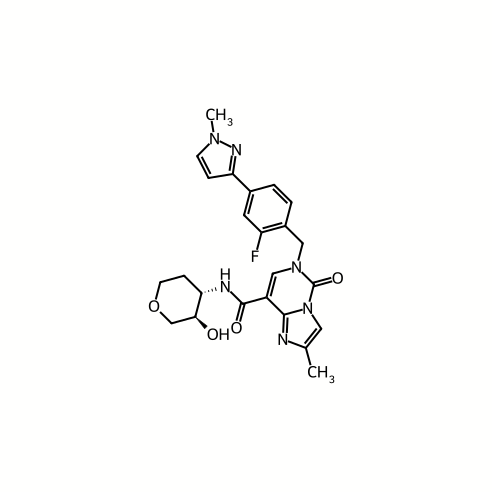 Cc1cn2c(=O)n(Cc3ccc(-c4ccn(C)n4)cc3F)cc(C(=O)N[C@H]3CCOC[C@@H]3O)c2n1